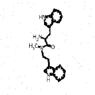 CN(CCc1c[nH]c2ccccc12)C(=O)C(N)Cc1c[nH]c2ccccc12